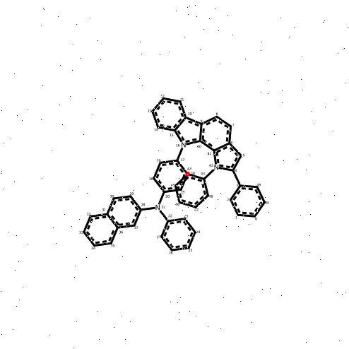 c1ccc(-c2cc3ccc4c5ccccc5n(-c5ccc(N(c6ccccc6)c6ccc7ccccc7c6)cc5)c4c3n2-c2ccccc2)cc1